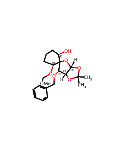 COCO[C@H]1CCC[C@@H](O)C12O[C@@H]1OC(C)(C)O[C@@H]1[C@H]2OCc1ccccc1